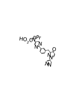 CCCN(C(=O)O)c1cnc(-c2cccc(Cc3nn(-c4cnn(C)c4)ccc3=O)c2)nc1